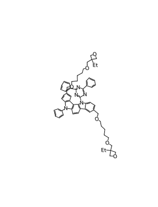 CCC1(COCCCCCOCc2ccc3c(c2)c2c(ccc4c5cc(COCCCCCOCC6(CC)COC6)ccc5n(-c5nc(-c6ccccc6)nc(-c6ccccc6)n5)c42)n3-c2ccccc2)COC1